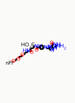 CCCOCCOCCOCCCNC(=O)CC[C@H](NC(=O)c1ccc(NCc2cnc3nc(N)[nH]c(=O)c3n2)cc1)C(=O)O